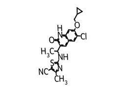 Cc1nc(NC(C)c2cc3cc(Cl)c(OCC4CC4)cc3[nH]c2=O)sc1C#N